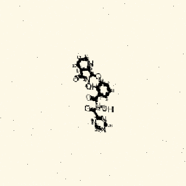 O=C(c1cccc(OC2c3ncccc3C(=O)N2O)c1)N(O)C(=O)c1ncncn1